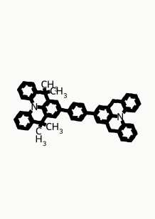 CC1(C)c2ccccc2N2c3ccccc3C(C)(C)c3cc(-c4ccc(-c5cc6c7c(c5)Cc5ccccc5N7c5ccccc5C6)cc4)cc1c32